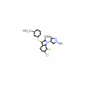 COc1c(Sc2cccc(C(=O)O)c2)c2ccc(Cl)c(F)c2n1-c1cnn(C(C)C)c1